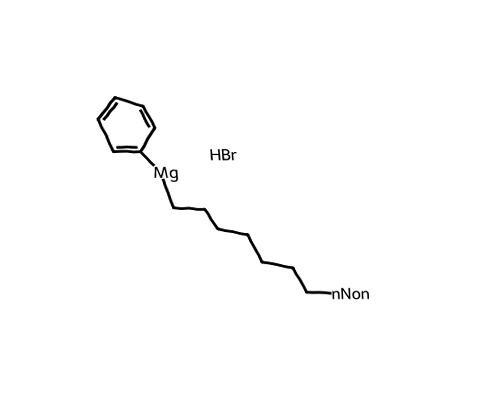 Br.CCCCCCCCCCCCCCC[CH2][Mg][c]1ccccc1